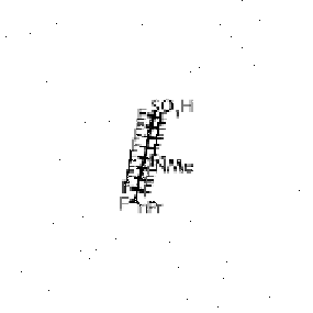 CCCC(F)C(F)(F)C(F)(F)C(F)(F)C(F)(F)C(F)(F)C(F)(F)C(F)(F)C(F)(F)S(=O)(=O)O.CNC